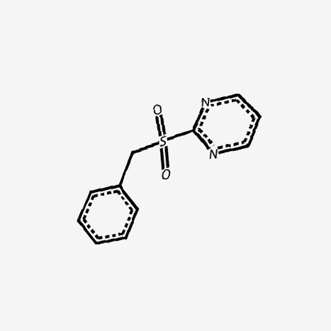 O=S(=O)(Cc1ccccc1)c1ncccn1